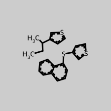 CCC(C)c1ccsc1.c1ccc2c(Sc3ccsc3)cccc2c1